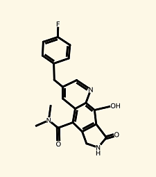 CN(C)C(=O)c1c2c(c(O)c3ncc(Cc4ccc(F)cc4)cc13)C(=O)NC2